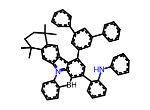 CC1(C)CCC(C)(C)c2cc3c(cc21)c1c(-c2cc(-c4ccccc4)cc(-c4ccccc4)c2)cc(-c2ccccc2Nc2ccccc2)c2c1n3-c1ccccc1B2